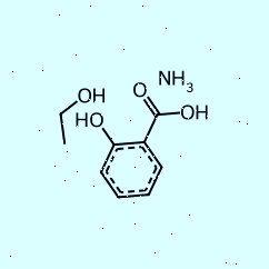 CCO.N.O=C(O)c1ccccc1O